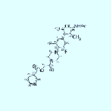 CC(=O)N[C@@H]1OC(=O)C(c2cc(F)c(N3CCN(C(=O)COC(=O)c4cccnc4)CC3)c(F)c2)C1C